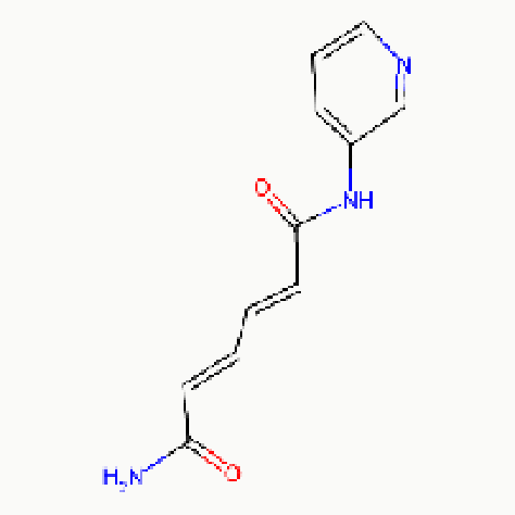 NC(=O)/C=C/C=C/C(=O)Nc1cccnc1